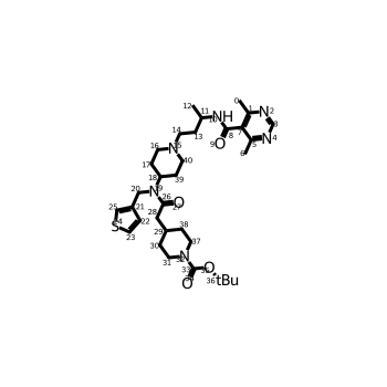 Cc1ncnc(C)c1C(=O)NC(C)CCN1CCC(N(Cc2ccsc2)C(=O)CC2CCN(C(=O)OC(C)(C)C)CC2)CC1